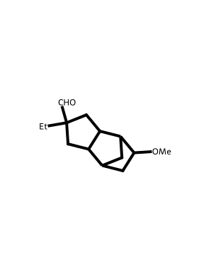 CCC1(C=O)CC2C3CC(OC)C(C3)C2C1